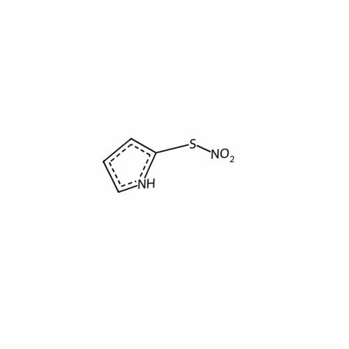 O=[N+]([O-])Sc1ccc[nH]1